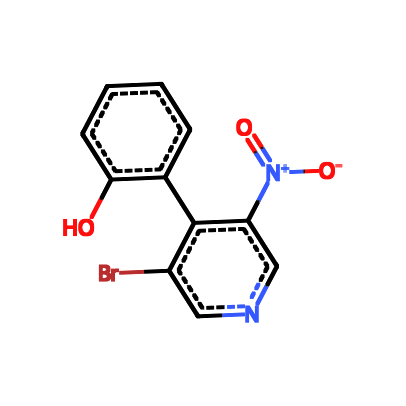 O=[N+]([O-])c1cncc(Br)c1-c1ccccc1O